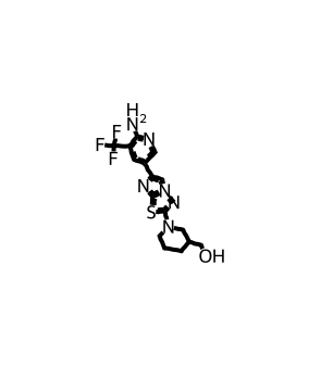 Nc1ncc(-c2cn3nc(N4CCCC(CO)C4)sc3n2)cc1C(F)(F)F